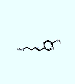 CNCC/C=C/c1ccc(N)nc1